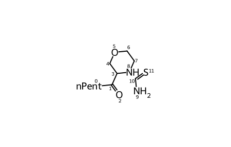 CCCCCC(=O)C1COCCN1.NC=S